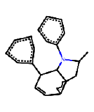 CC1CC23C=CC=C2C=CC(c2ccccc2)C3N1c1ccccc1